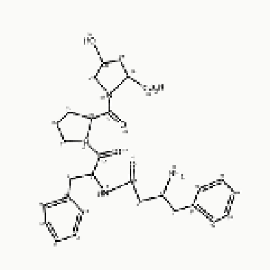 NC(CC(=O)NC(Cc1ccccc1)C(=O)N1CCCC1C(=O)N1CC(O)CC1C(=O)O)Cc1ccccc1